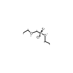 CCOCP(=S)(Cl)OCC